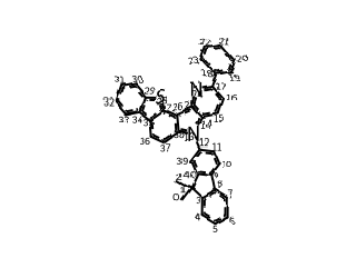 CC1(C)c2ccccc2-c2ccc(-n3c4ccc(-c5ccccc5)nc4c4c5sc6ccccc6c5ccc43)cc21